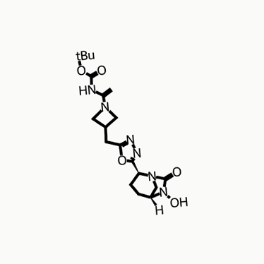 C=C(NC(=O)OC(C)(C)C)N1CC(Cc2nnc([C@@H]3CC[C@@H]4CN3C(=O)N4O)o2)C1